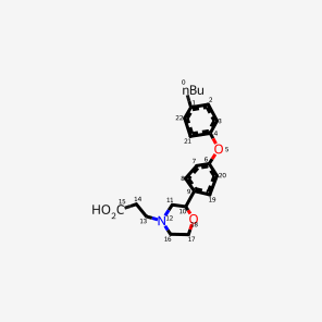 CCCCc1ccc(Oc2ccc(C3CN(CCC(=O)O)CCO3)cc2)cc1